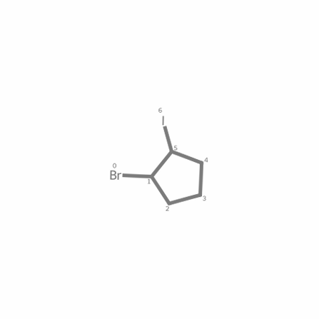 BrC1CCCC1I